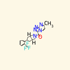 Cc1ccn2c(C(=O)N3C[C@H]4C[C@@H](c5ccccc5C(F)(F)F)C[C@H]4C3)nnc2n1